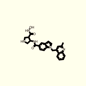 Cc1cc(Cn2ccc3cc(C(=O)NC4CNCC4C(=O)NO)ccc32)c2ccccc2n1